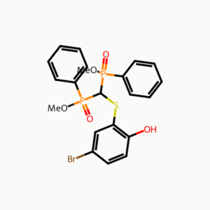 COP(=O)(c1ccccc1)C(Sc1cc(Br)ccc1O)P(=O)(OC)c1ccccc1